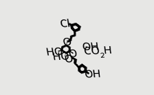 O=C(/C=C/c1ccc(O)cc1)O[C@@H]1C[C@@H](OCCCc2cccc(Cl)c2)C[C@H](O)[C@H]1O.O=C(O)O